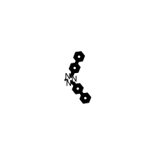 c1ccc(-c2ccc(-c3ncnc(-c4ccc(-c5ccccc5)cc4)n3)cc2)cc1